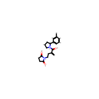 C=C(CCN1C(=O)CCC1=O)C(=O)N1CCCC1c1cccc(C)c1